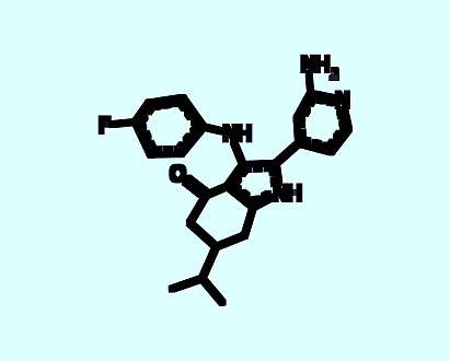 CC(C)C1CC(=O)c2c([nH]c(-c3ccnc(N)c3)c2Nc2ccc(F)cc2)C1